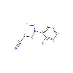 CCN(CCC#N)c1ccccc1C